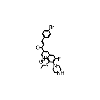 CCSc1c(N2CCNCC2)c(F)cc2cc(C(=O)C=Cc3ccc(Br)cc3)c[n+]([O-])c12